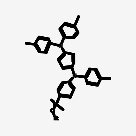 CCO[Si](C)(C)c1ccc(N(c2ccc(C)cc2)c2ccc(N(c3ccc(C)cc3)c3ccc(C)cc3)cc2)cc1